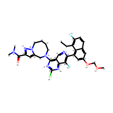 CCc1c(F)ccc2cc(OCOC)cc(-c3ncc4c(N5CCCCn6nc(C(=O)N(C)C)cc6C5)nc(Cl)nc4c3F)c12